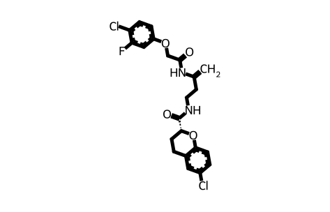 C=C(CCNC(=O)[C@H]1CCc2cc(Cl)ccc2O1)NC(=O)COc1ccc(Cl)c(F)c1